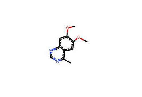 COc1cc2ncnc(C)c2cc1OC